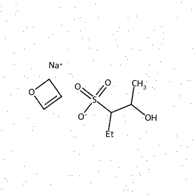 C1=COC1.CCC(C(C)O)S(=O)(=O)[O-].[Na+]